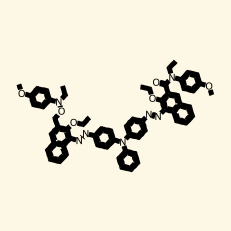 CCOc1c(CON(CC)c2ccc(OC)cc2)cc2ccccc2c1N=Nc1ccc(N(c2ccccc2)c2ccc(N=Nc3c(OCC)c(C(=O)N(CC)c4ccc(OC)cc4)cc4ccccc34)cc2)cc1